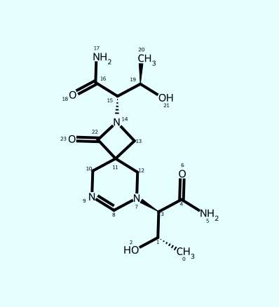 C[C@H](O)[C@H](C(N)=O)N1C=NCC2(C1)CN([C@H](C(N)=O)[C@@H](C)O)C2=O